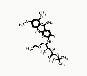 CCOC[C@@H](Nc1nc(Nc2cc(OC)cc(OC)c2)c(C(N)=O)cc1F)[C@H](C)NC(=O)OC(C)(C)C